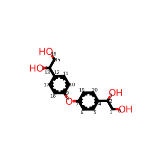 OCC(O)c1ccc(Oc2ccc(C(O)CO)cc2)cc1